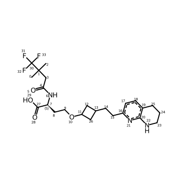 CC(C)(CC(=O)N[C@@H](CCOC1CC(CCc2ccc3c(n2)NCCC3)C1)C(=O)O)C(F)(F)F